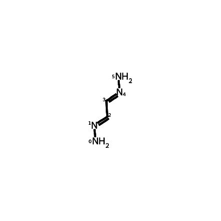 NN=CC=NN